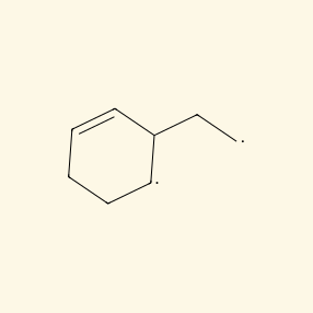 [CH2]CC1[CH]CCC=C1